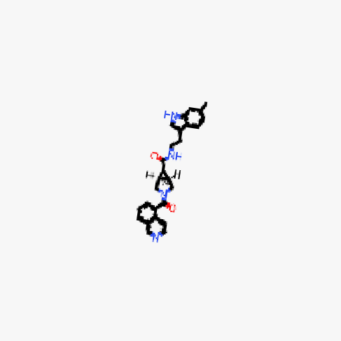 Cc1ccc2c(CCNC(=O)C3[C@H]4CN(C(=O)c5cccc6cnccc56)C[C@@H]34)c[nH]c2c1